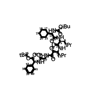 CCCC(NC(=O)[C@H](CC(C)C)NC(=O)[C@@H](NC(=O)OCC(C)C)C1CCCCC1)C(=O)C(=O)NCC(=O)N[C@H](C(=O)OC(C)(C)C)c1ccccc1